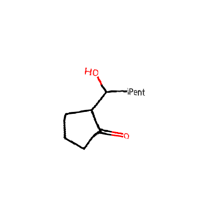 CCCC(C)C(O)C1CCCC1=O